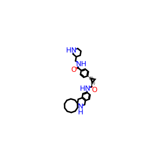 O=C(NCC1CCCNC1)c1ccc([C@@H]2C[C@H]2C(=O)Nc2ccc3c(c2)CC2(CCCCCCCCC2)NC3)cc1